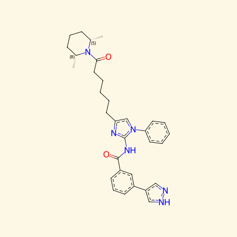 C[C@@H]1CCC[C@H](C)N1C(=O)CCCCCc1cn(-c2ccccc2)c(NC(=O)c2cccc(-c3cn[nH]c3)c2)n1